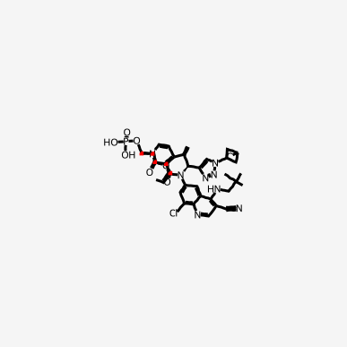 C=C(c1ccn(C)c(=O)c1/C=C\C)[C@@H](c1cn(C23CC(C2)C3)nn1)N(C(=O)OCCCOP(=O)(O)O)c1cc(Cl)c2ncc(C#N)c(NCC(C)(C)C)c2c1